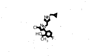 C[C@@H](O)c1cc(F)ccc1-c1cc(Cl)nn1Cc1cnn(CC2CC2)c1